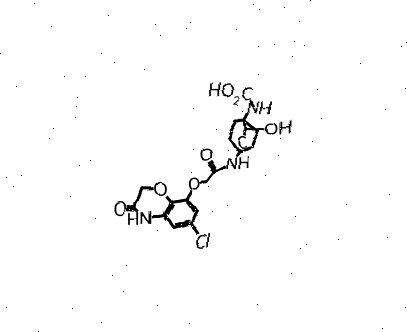 O=C(O)NC12CCC(NC(=O)COc3cc(Cl)cc4c3OCC(=O)N4)(CC1)CC2O